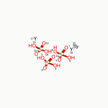 O=S(=O)(O)O.O=S(=O)(O)O.O=S(=O)(O)O.[Tb].[Y].[Y]